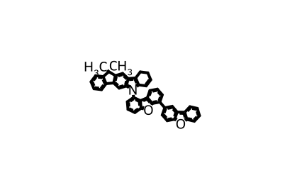 CC1(C)c2ccccc2-c2cc3c(cc21)c1c(n3-c2cccc3oc4c(-c5ccc6oc7ccccc7c6c5)cccc4c23)C=CCC1